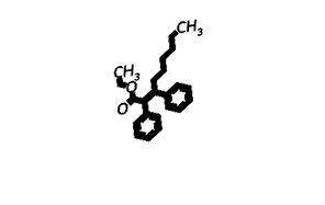 CCCCCCC(=C(C(=O)OCC)c1ccccc1)c1ccccc1